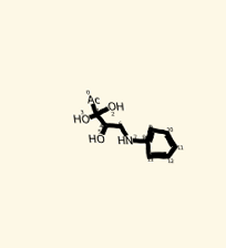 CC(=O)C(O)(O)C(O)CNc1ccccc1